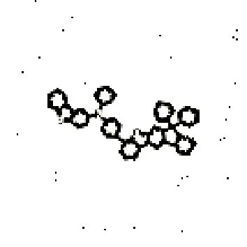 c1ccc(N(c2ccc(-c3cccc4c3oc3cc5c(cc34)-c3ccccc3C5(c3ccccc3)c3ccccc3)cc2)c2ccc3sc4ccccc4c3c2)cc1